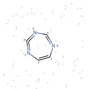 C1=NC=CN=CN=1